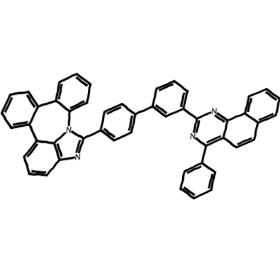 c1ccc(-c2nc(-c3cccc(-c4ccc(-c5nc6cccc7c6n5-c5ccccc5-c5ccccc5-7)cc4)c3)nc3c2ccc2ccccc23)cc1